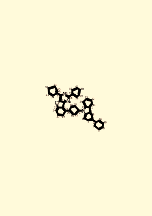 C1=CCC(c2ccc3c(c2)c2ccccc2n3-c2ccc(-c3cccc4oc5c(-c6ccccc6)nc(-c6ccccc6)nc5c34)cc2)C=C1